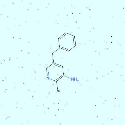 CC(=O)c1ncc(Cc2ccccc2)cc1N